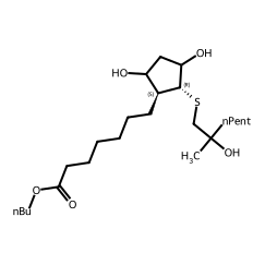 CCCCCC(C)(O)CS[C@H]1C(O)CC(O)[C@@H]1CCCCCCC(=O)OCCCC